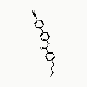 CCCCc1ccc(C(=O)Oc2ccc(-c3ccc(C#N)cc3)cc2)cc1